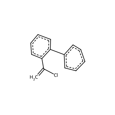 C=C(Cl)c1ccccc1-c1ccccc1